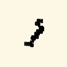 O=C(O)/C=C/c1cccc(OC(=O)CC(=O)Oc2cccc(/C=C/C(=O)O)c2)c1